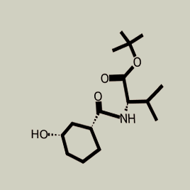 CC(C)[C@H](NC(=O)[C@@H]1CCC[C@H](O)C1)C(=O)OC(C)(C)C